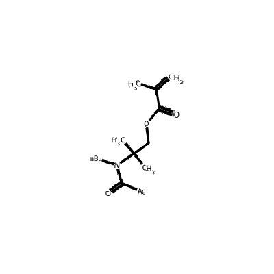 C=C(C)C(=O)OCC(C)(C)N(CCCC)C(=O)C(C)=O